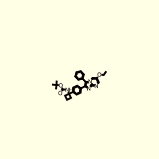 CCOc1cnc2nc(-c3ccc(C4(NC(=O)OC(C)(C)C)CCC4)cc3)c(-c3ccccc3)n2c1